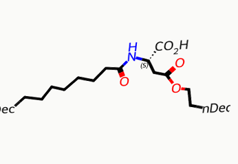 CCCCCCCCCCCCCCCCCC(=O)N[C@@H](CC(=O)OCCCCCCCCCCCC)C(=O)O